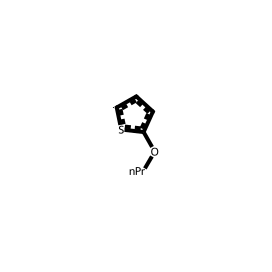 CCCOc1cc[c]s1